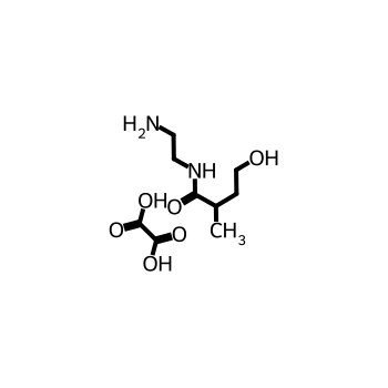 CC(CCO)C(=O)NCCN.O=C(O)C(=O)O